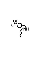 CCCCC1NCCC12CCN(C(=O)O)CC2